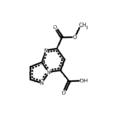 COC(=O)c1cc(C(=O)O)n2nccc2n1